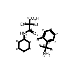 CCC(CC)(C(=O)O)C(=O)NC1CCCCC1.Cc1ccccc1C(C)(C)N